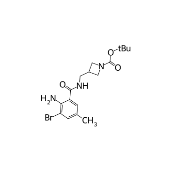 Cc1cc(Br)c(N)c(C(=O)NCC2CN(C(=O)OC(C)(C)C)C2)c1